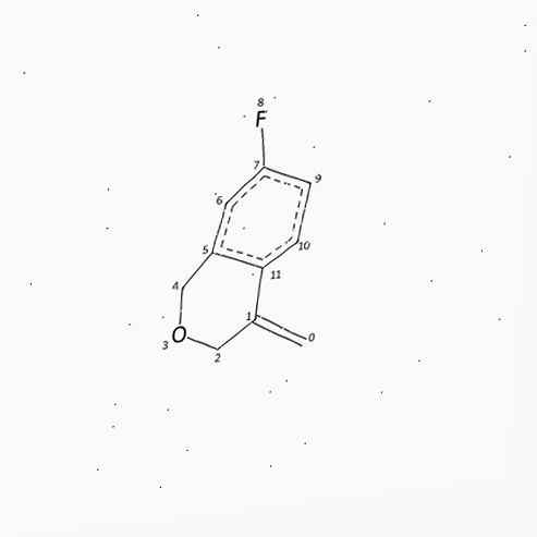 C=C1COCc2cc(F)ccc21